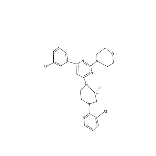 CCc1cccc(-c2cc(N3CCN(c4ncccc4Cl)C[C@H]3C)nc(N3CCOCC3)n2)c1